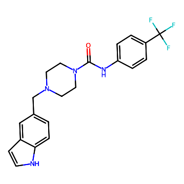 O=C(Nc1ccc(C(F)(F)F)cc1)N1CCN(Cc2ccc3[nH]ccc3c2)CC1